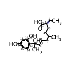 C/C=C(\CCC(C)CCCC(C)(C)c1ccc(O)cc1O)C(=O)O